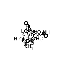 CNC(=O)[C@H](CCCc1ccccc1)NC(=O)C1CN(C(=O)Cc2c[nH]c3cccc(C)c23)CC2CN(C(=O)c3ccc(OC(C)C)c(OC)c3)CC21